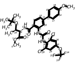 COC(=O)[C@@H](NC(=O)c1ccc(-c2ccc(OC)cc2)cc1NC(=O)Nc1c(Cl)cc(OC(F)(F)F)cc1Cl)[C@@H](C)OC(C)(C)C